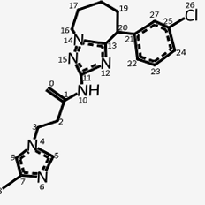 C=C(CCn1cnc(C)c1)Nc1nc2n(n1)CCCCC2c1cccc(Cl)c1